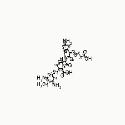 CCN1C(N)=NC(SCC2=C(C(=O)O)N3C(=O)[C@@H](NC(=O)/C(=N\OCCC(=O)O)c4csc(N)n4)[C@H]3SC2)=C[C@@H]1N